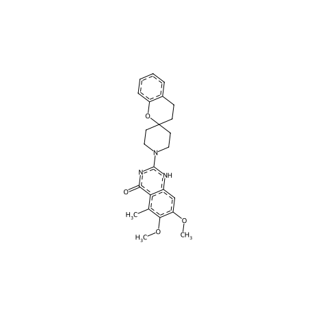 COc1cc2[nH]c(N3CCC4(CCc5ccccc5O4)CC3)nc(=O)c2c(C)c1OC